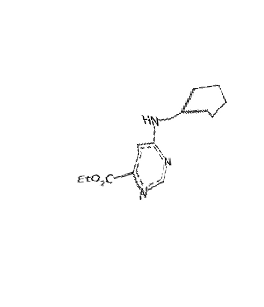 CCOC(=O)c1cc(NC2CCCC2)ncn1